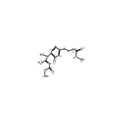 CCN(C(N)=NC(=O)OC(C)(C)C)c1ccc(CCNC(=O)OC(C)(C)C)cc1Cl